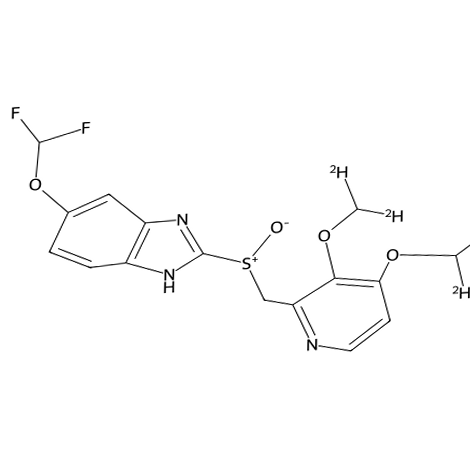 [2H]C([2H])Oc1ccnc(C[S+]([O-])c2nc3cc(OC(F)F)ccc3[nH]2)c1OC([2H])[2H]